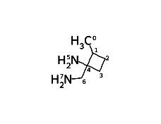 CC1CCC1(N)CN